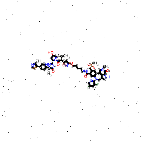 Cc1ncsc1-c1ccc([C@@]2(C)NC([C@@H]3C[C@@H](O)CN3C(=O)[C@@H](c3cc(OCCCCCNC(=O)c4cc5c(cc4CS(C)(=O)=O)-c4cn(C)c(=O)c6[nH]cc(c46)CN5c4ncc(F)cc4F)no3)C(C)C)=NC2=O)cc1